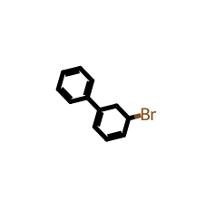 BrC1C=CC=C(c2ccccc2)C1